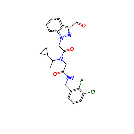 CC(C1CC1)N(CC(=O)NCc1cccc(Cl)c1F)C(=O)Cn1nc(C=O)c2ccccc21